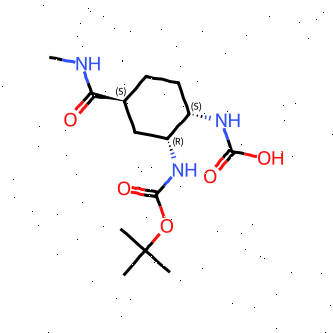 CNC(=O)[C@H]1CC[C@H](NC(=O)O)[C@H](NC(=O)OC(C)(C)C)C1